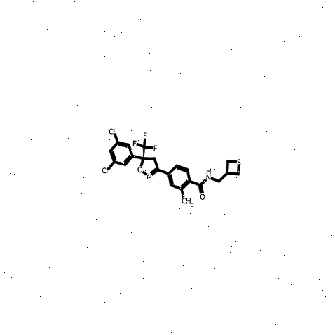 Cc1cc(C2=NO[C@@](c3cc(Cl)cc(Cl)c3)(C(F)(F)F)C2)ccc1C(=O)NCC1CSC1